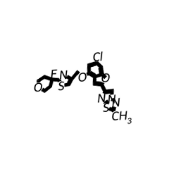 Cc1nn2cc(-c3cc4c(OCc5csc(C6(F)CCOCC6)n5)cc(Cl)cc4o3)nc2s1